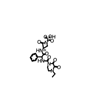 CCN1CCN(C(=O)NC(C(=O)N[C@H]2CN(S(=O)(=O)O)C2=O)c2ccccc2)C(=O)C1=O